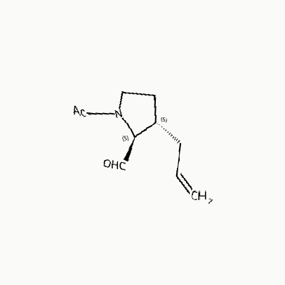 C=CC[C@H]1CCN(C(C)=O)[C@@H]1C=O